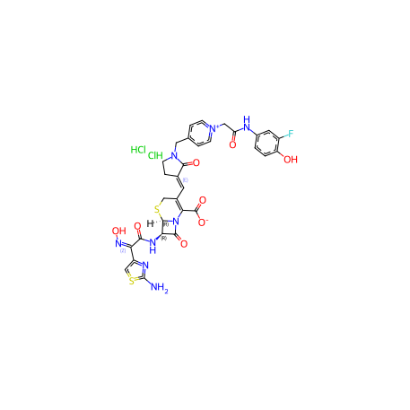 Cl.Cl.Nc1nc(/C(=N/O)C(=O)N[C@@H]2C(=O)N3C(C(=O)[O-])=C(/C=C4\CCN(Cc5cc[n+](CC(=O)Nc6ccc(O)c(F)c6)cc5)C4=O)CS[C@H]23)cs1